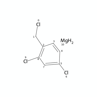 ClCc1ccc(Cl)cc1Cl.[MgH2]